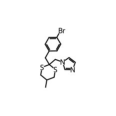 CC1CSC(Cc2ccc(Br)cc2)(Cn2ccnc2)SC1